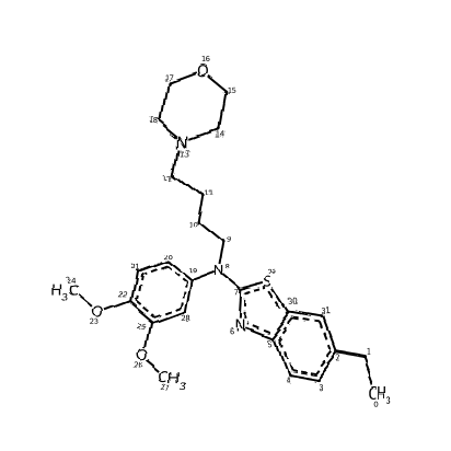 CCc1ccc2nc(N(CCCCN3CCOCC3)c3ccc(OC)c(OC)c3)sc2c1